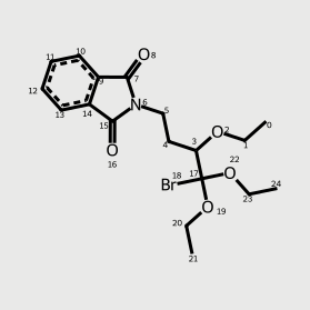 CCOC(CCN1C(=O)c2ccccc2C1=O)C(Br)(OCC)OCC